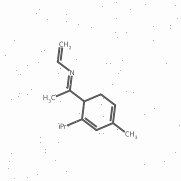 C=C/N=C(\C)C1CC=C(C)C=C1C(C)C